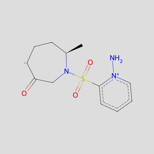 C[C@@H]1CC[CH]C(=O)CN1S(=O)(=O)c1cccc[n+]1N